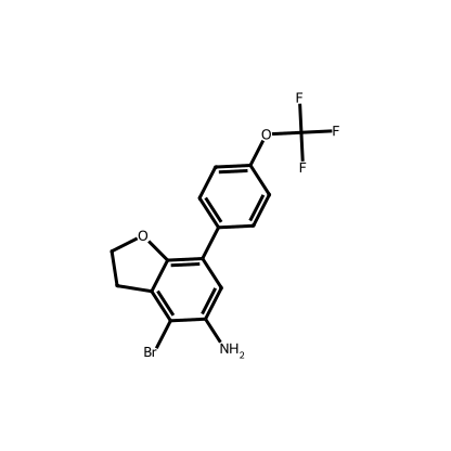 Nc1cc(-c2ccc(OC(F)(F)F)cc2)c2c(c1Br)CCO2